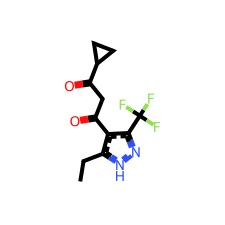 CCc1[nH]nc(C(F)(F)F)c1C(=O)CC(=O)C1CC1